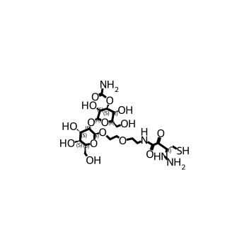 NN[C@@H](CS)C(=O)C(=O)NCCOCCO[C@H]1O[C@@H](CO)[C@@H](O)[C@H](O)[C@@H]1O[C@H]1O[C@H](CO)[C@@H](O)[C@H](OC(N)=O)[C@@H]1O